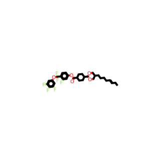 CC/C=C/CCCCC1COC(C2CCC(C(=O)Oc3ccc(C(F)(F)Oc4cc(F)c(F)c(F)c4)c(F)c3)CC2)OC1